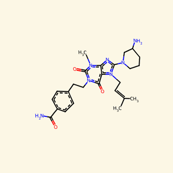 CC(C)=CCn1c(N2CCCC(N)C2)nc2c1c(=O)n(CCc1ccc(C(N)=O)cc1)c(=O)n2C